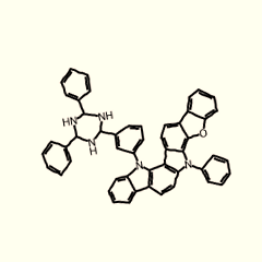 c1ccc(C2NC(c3ccccc3)NC(c3cccc(-n4c5ccccc5c5ccc6c(c7ccc8c9ccccc9oc8c7n6-c6ccccc6)c54)c3)N2)cc1